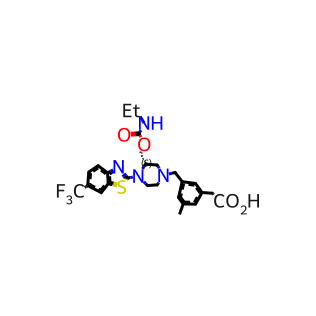 CCNC(=O)OC[C@@H]1CN(Cc2cc(C)cc(CC(=O)O)c2)CCN1c1nc2ccc(C(F)(F)F)cc2s1